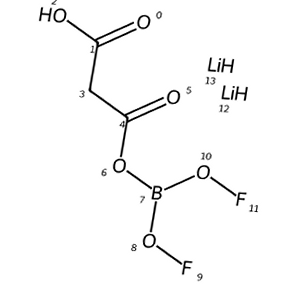 O=C(O)CC(=O)OB(OF)OF.[LiH].[LiH]